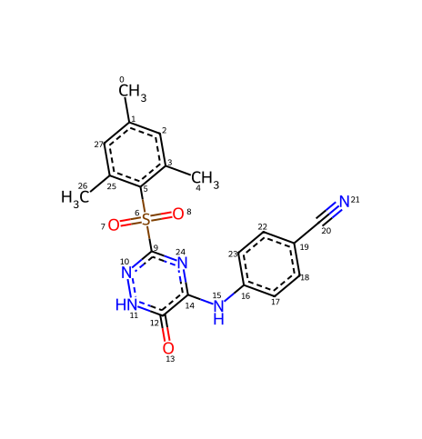 Cc1cc(C)c(S(=O)(=O)c2n[nH]c(=O)c(Nc3ccc(C#N)cc3)n2)c(C)c1